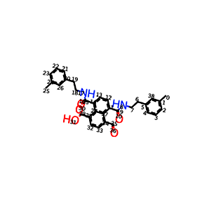 Cc1cccc(CCNC(=O)c2ccc(C(=O)NCCc3cccc(C)c3)c3c(C(=O)O)ccc(C=O)c23)c1